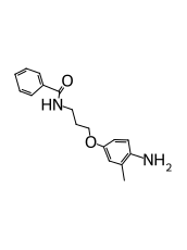 Cc1cc(OCCCNC(=O)c2ccccc2)ccc1N